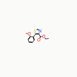 CCOC(=O)c1ncsc1-c1ccccc1OC